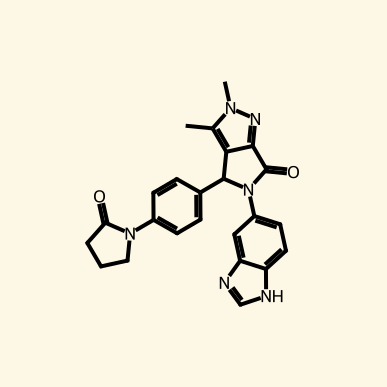 Cc1c2c(nn1C)C(=O)N(c1ccc3[nH]cnc3c1)C2c1ccc(N2CCCC2=O)cc1